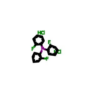 Cl.Cl.Fc1ccccc1P(c1ccccc1F)c1ccccc1F